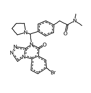 CN(C)C(=O)Cc1ccc(C(N2CCCC2)n2c(=O)c3cc(Br)ccc3n3cnnc23)cc1